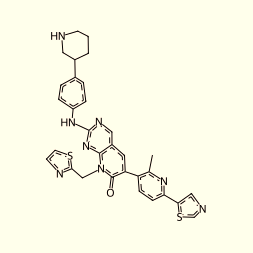 Cc1nc(-c2cncs2)ccc1-c1cc2cnc(Nc3ccc(C4CCCNC4)cc3)nc2n(Cc2nccs2)c1=O